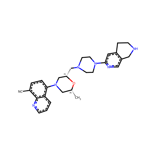 C[C@@H]1CN(c2ccc(C#N)c3ncccc23)C[C@H](CN2CCN(c3cc4c(cn3)CNCC4)CC2)O1